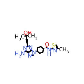 Cc1csc(NC(=O)[C@H]2CC[C@@H](n3cnc4c(N)nc(C#CC(C)(C)O)nc43)CC2)n1